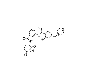 [2H]c1cc(CN2CCOCC2)ccc1C([2H])Oc1cccc2c1CN(C1CCC(=O)NC1=O)C2=O